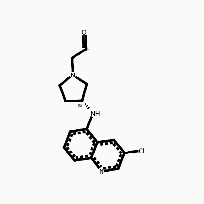 O=[C]CN1CC[C@@H](Nc2cccc3ncc(Cl)cc23)C1